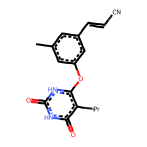 Cc1cc(/C=C/C#N)cc(Oc2[nH]c(=O)[nH]c(=O)c2C(C)C)c1